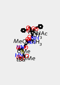 COC(=O)[C@H](CSC[C@@H](NC(=O)CC[C@@H](NC(=O)[C@H](C)NC(=O)[C@@H](C)C[C@@H]1C(NC(C)=O)[C@@H](OCc2ccccc2)OC2COC(c3ccccc3)O[C@H]21)C(=O)OC)C(=O)OC)NC(=O)OC(C)(C)C